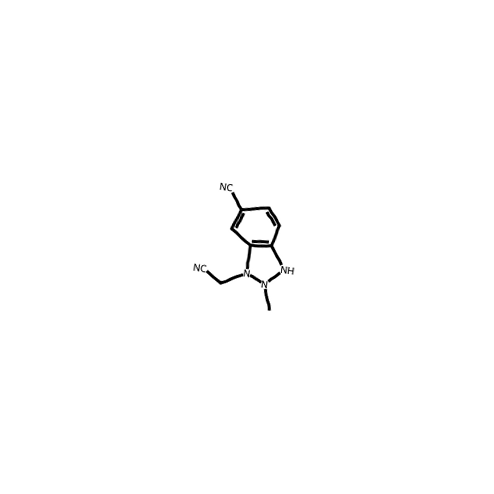 CN1Nc2ccc(C#N)cc2N1CC#N